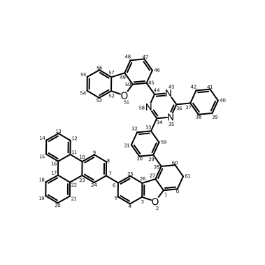 C1=c2oc3ccc(-c4ccc5c6ccccc6c6ccccc6c5c4)cc3c2=C(c2cccc(-c3nc(-c4ccccc4)nc(-c4cccc5c4oc4ccccc45)n3)c2)CC1